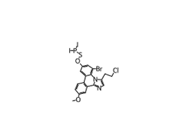 COc1ccc2c(c1)c1ncc(CCCl)n1c1c(Br)cc(OSP(I)I)cc21